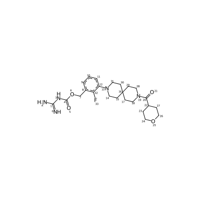 N=C(N)NC(=O)OCc1cccc(N2CCC3(CCN(C(=O)C4CCOCC4)CC3)CC2)c1F